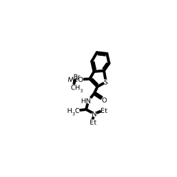 CBr.CCN(CC)C(C)NC(=O)c1sc2ccccc2c1OC